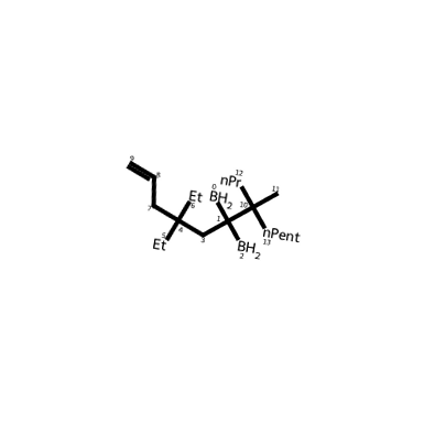 BC(B)(CC(CC)(CC)CC=C)C(C)(CCC)CCCCC